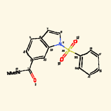 CNC(=O)c1ccc2ccn(S(=O)(=O)c3ccccc3)c2c1